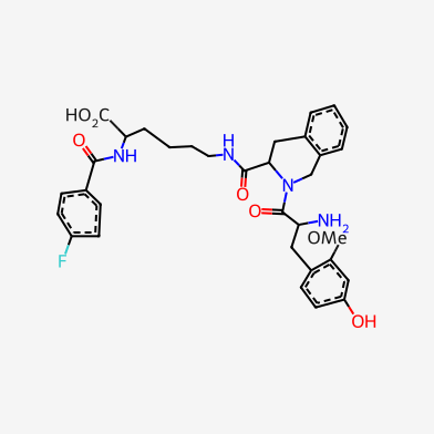 COc1cc(O)ccc1CC(N)C(=O)N1Cc2ccccc2CC1C(=O)NCCCCC(NC(=O)c1ccc(F)cc1)C(=O)O